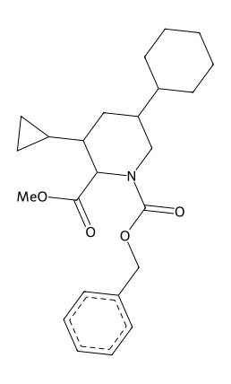 COC(=O)C1C(C2CC2)CC(C2CCCCC2)CN1C(=O)OCc1ccccc1